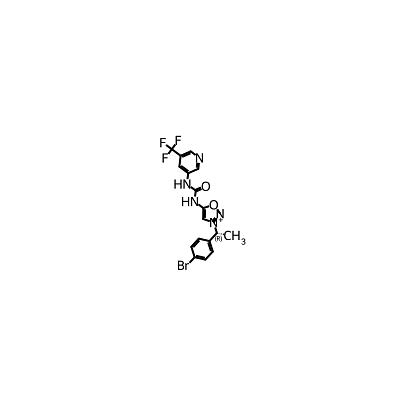 C[C@H](c1ccc(Br)cc1)[n+]1cc(NC(=O)Nc2cncc(C(F)(F)F)c2)on1